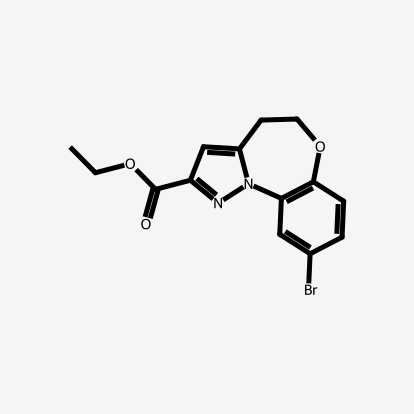 CCOC(=O)c1cc2n(n1)-c1cc(Br)ccc1OCC2